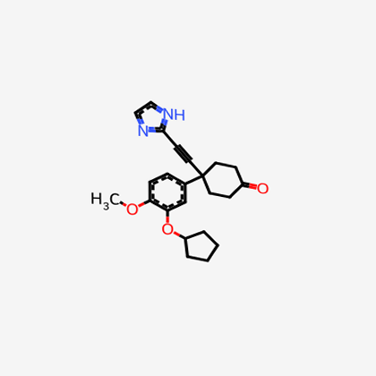 COc1ccc(C2(C#Cc3ncc[nH]3)CCC(=O)CC2)cc1OC1CCCC1